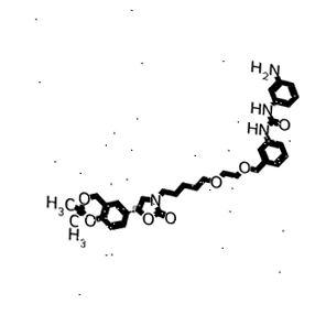 CC1(C)OCc2cc([C@@H]3CN(CCCCCOCCOCc4cccc(NC(=O)Nc5cccc(N)c5)c4)C(=O)O3)ccc2O1